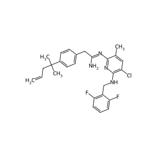 C=CCC(C)(C)c1ccc(C/C(N)=N/c2nc(NCc3c(F)cccc3F)c(Cl)cc2C)cc1